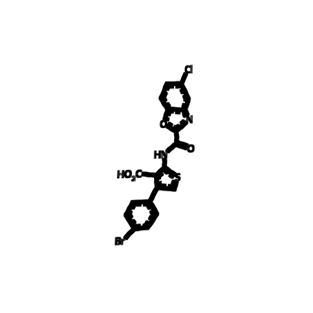 O=C(Nc1scc(-c2ccc(Br)cc2)c1C(=O)O)c1nc2cc(Cl)ccc2o1